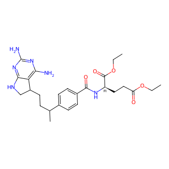 CCOC(=O)CC[C@@H](NC(=O)c1ccc(C(C)CCC2CNc3nc(N)nc(N)c32)cc1)C(=O)OCC